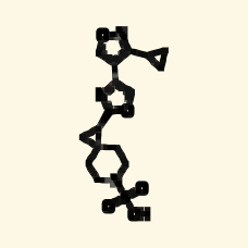 O=S(=O)(O)N1CCC2(CC1)C[C@H]2c1nc(-c2conc2C2CC2)co1